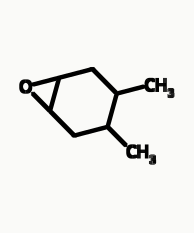 CC1CC2OC2CC1C